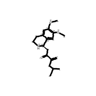 C=C(CC(C)C)C(=O)C[C@H]1NCCc2cc(OC)c(OC)cc21